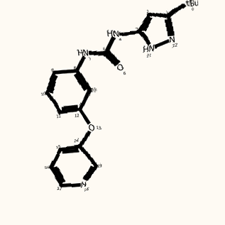 CC(C)(C)c1cc(NC(=O)Nc2cccc(Oc3cccnc3)c2)[nH]n1